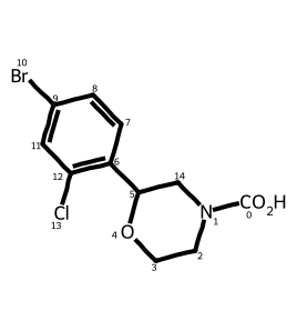 O=C(O)N1CCOC(c2ccc(Br)cc2Cl)C1